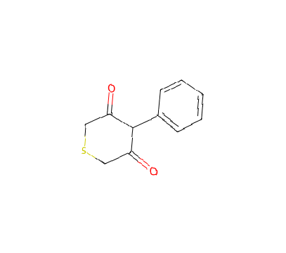 O=C1CSCC(=O)C1c1ccccc1